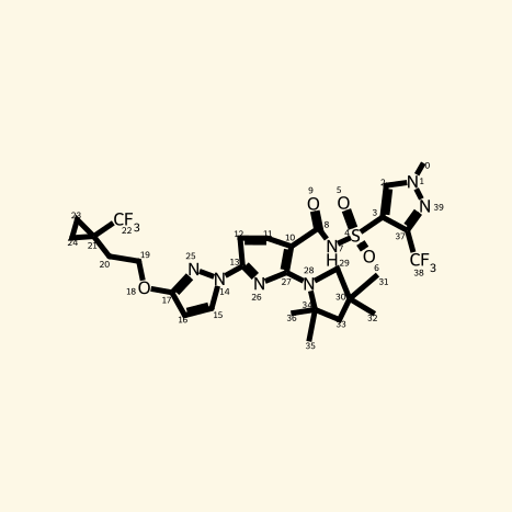 Cn1cc(S(=O)(=O)NC(=O)c2ccc(-n3ccc(OCCC4(C(F)(F)F)CC4)n3)nc2N2CC(C)(C)CC2(C)C)c(C(F)(F)F)n1